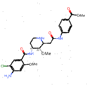 COC(=O)c1ccc(NC(=O)CC2NCC[C@@H](NC(=O)c3cc(Cl)c(N)cc3OC)[C@H]2OC)cc1